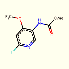 COC(=O)Nc1cnc(F)cc1OC(F)(F)F